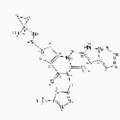 C=C1N(Cc2cnc(C)s2)C(=O)c2cc(SNC3(C)CC3)sc2N1Cc1nc2ccccc2[nH]1